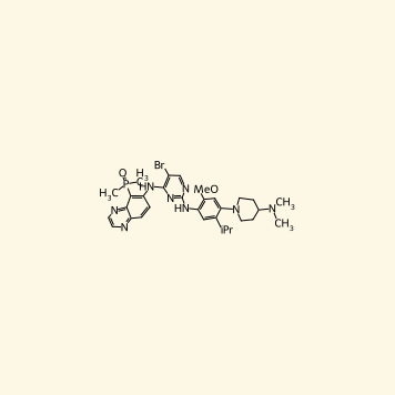 COc1cc(N2CCC(N(C)C)CC2)c(C(C)C)cc1Nc1ncc(Br)c(Nc2ccc3nccnc3c2P(C)(C)=O)n1